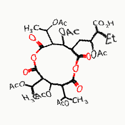 CCC(C(=O)O)C(CC1C(=O)OC(=O)C(C(C)OC(C)=O)C(OC(C)=O)C(C(C)OC(C)=O)C(=O)OC(=O)C(C(C)OC(C)=O)C1OC(C)=O)OC(C)=O